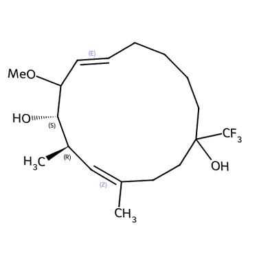 COC1/C=C/CCCCC(O)(C(F)(F)F)CC/C(C)=C\[C@@H](C)[C@@H]1O